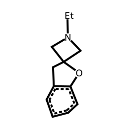 CCN1CC2(Cc3ccccc3O2)C1